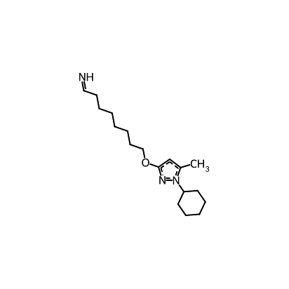 Cc1cc(OCCCCCCCC=N)nn1C1CCCCC1